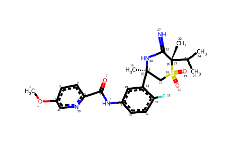 COc1ccc(C(=O)Nc2ccc(F)c([C@]3(C)CS(=O)(=O)[C@@](C)(C(C)C)C(=N)N3)c2)nc1